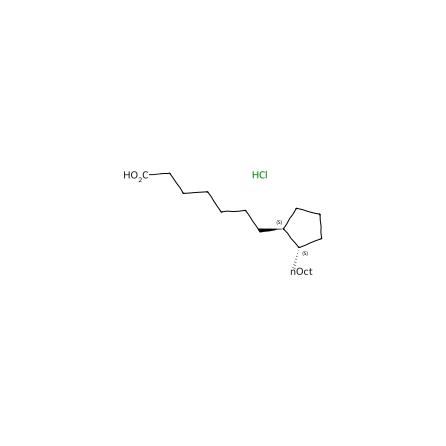 CCCCCCCC[C@H]1CCC[C@@H]1CCCCCCC(=O)O.Cl